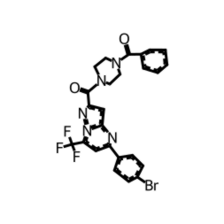 O=C(c1ccccc1)N1CCN(C(=O)c2cc3nc(-c4ccc(Br)cc4)cc(C(F)(F)F)n3n2)CC1